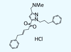 CNCc1cc(S(=O)(=O)CC=CCc2ccccc2)n(CCCc2ccccc2)n1.Cl